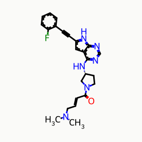 CN(C)CC=CC(=O)N1CC[C@@H](Nc2ncnc3[nH]c(C#Cc4ccccc4F)cc23)C1